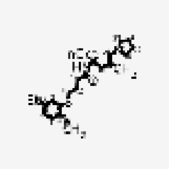 C=Nc1ccc(CC)cc1SCCCC(=O)NC(CCCCCCCC)CC(=C)CN1CCCC1